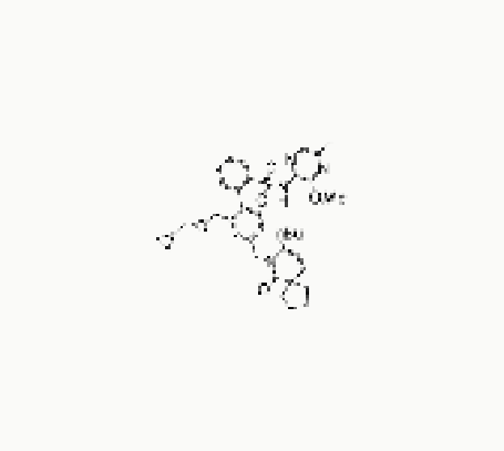 CCCCC1=C=CC2(CCCC2)C(=O)N1Cc1ccc(-c2ccccc2S(=O)(=O)Nc2ncc(C)nc2OC)c(COCC2CC2)c1